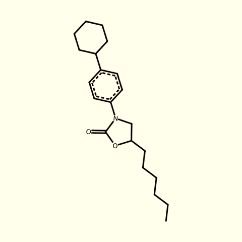 CCCCCCC1CN(c2ccc(C3CCCCC3)cc2)C(=O)O1